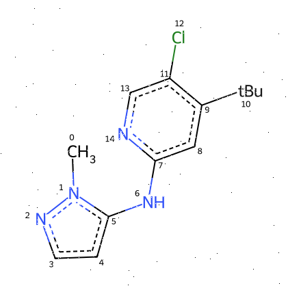 Cn1nccc1Nc1cc(C(C)(C)C)c(Cl)cn1